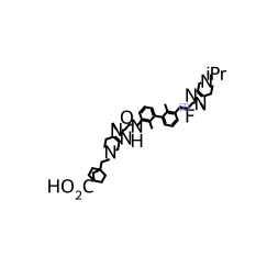 Cc1c(/C=C(\F)c2nc3c(n2C)CCN(C(C)C)C3)cccc1-c1cccc(NC(=O)c2nc3c(n2C)CCN(CCC24CCC(C(=O)O)(CC2)C4)C3)c1C